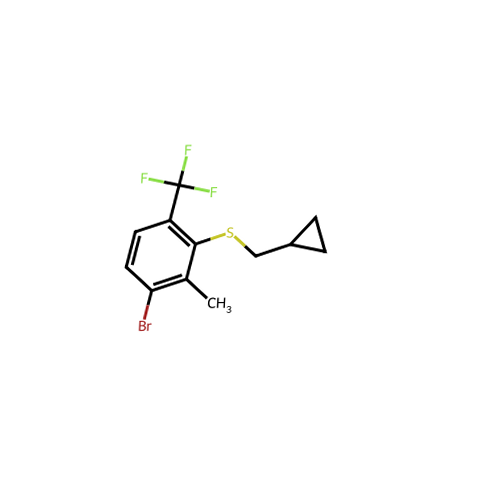 Cc1c(Br)ccc(C(F)(F)F)c1SCC1CC1